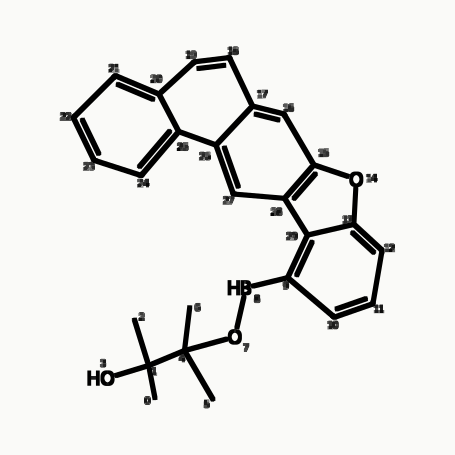 CC(C)(O)C(C)(C)OBc1cccc2oc3cc4ccc5ccccc5c4cc3c12